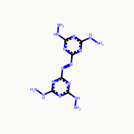 NNc1nc(/N=N/c2nc(NN)nc(NN)n2)nc(NN)n1